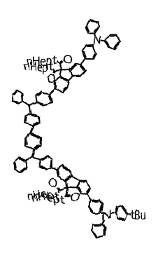 CCCCCCCC(=O)C1(C(=O)CCCCCCC)c2cc(-c3ccc(C(c4ccccc4)c4ccc(-c5ccc(C(c6ccccc6)c6ccc(-c7ccc8c(c7)C(C(=O)CCCCCCC)(C(=O)CCCCCCC)c7cc(-c9ccc(N(c%10ccccc%10)c%10ccc(C(C)(C)C)cc%10)cc9)ccc7-8)cc6)cc5)cc4)cc3)ccc2-c2ccc(-c3ccc(N(c4ccccc4)c4ccccc4)cc3)cc21